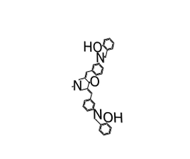 CN1CC(=Cc2cccc(N=Cc3ccccc3O)c2)C(=O)C(=Cc2cccc(N=Cc3ccccc3O)c2)C1